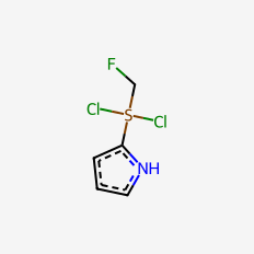 FCS(Cl)(Cl)c1ccc[nH]1